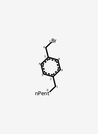 CCCCCCc1ccc(CBr)cc1